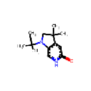 CC1(C)CN(C(C)(C)C)c2c[nH]c(=O)cc21